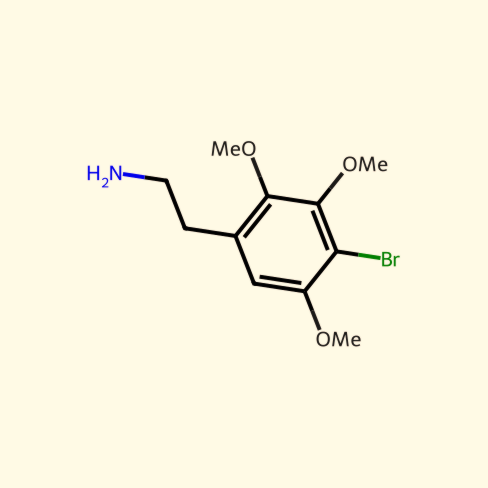 COc1cc(CCN)c(OC)c(OC)c1Br